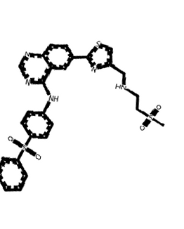 CS(=O)(=O)CCNCc1csc(-c2ccc3ncnc(Nc4ccc(S(=O)(=O)c5ccccc5)cc4)c3c2)n1